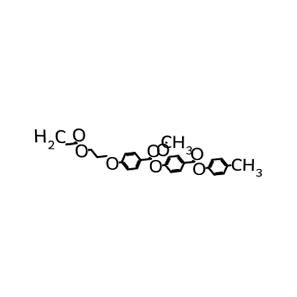 C=CC(=O)OCCCOc1ccc(C(=O)Oc2ccc(C(=O)Oc3ccc(C)cc3)cc2OC)cc1